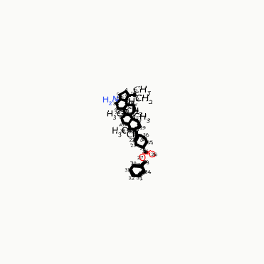 C=C(C)C1CC[C@]2(N)CC[C@]3(C)[C@H](CCC4[C@@]5(C)CC=C(C6=CC[C@H](C(=O)OCc7ccccc7)CC6)C(C)(C)C5CC[C@]43C)C12